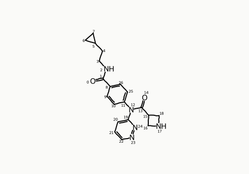 O=C(NCCC1CC1)c1ccc(N(C(=O)C2CNC2)c2cccnn2)cc1